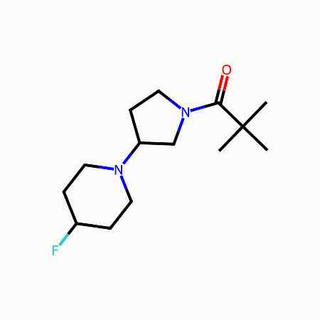 CC(C)(C)C(=O)N1CCC(N2CCC(F)CC2)C1